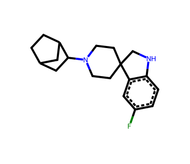 Fc1ccc2c(c1)C1(CCN(C3CC4CCC3C4)CC1)CN2